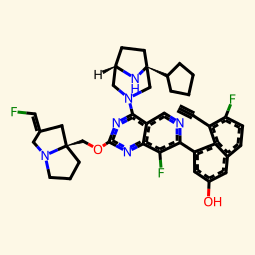 C#Cc1c(F)ccc2cc(O)cc(-c3ncc4c(N5C[C@@H]6CC[C@](C7CCCC7)(C5)N6)nc(OC[C@@]56CCCN5C/C(=C\F)C6)nc4c3F)c12